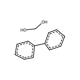 OCO.c1ccc(-c2ccccc2)cc1